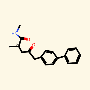 CNC(=O)[C@H](C)CC(=O)Cc1ccc(-c2ccccc2)cc1